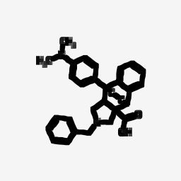 CN(C)c1ccc(C23CCC(c4ccccc42)C2(C(=O)O)CN(Cc4ccccc4)CC32)cc1